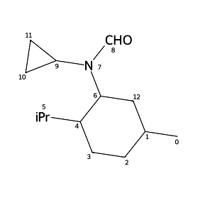 CC1CCC(C(C)C)C(N(C=O)C2CC2)C1